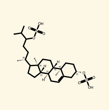 CC(C)C(CC[C@@H](C)C1CC[C@H]2[C@@H]3CC=C4C[C@@H](OS(=O)(=O)O)CC[C@]4(C)[C@H]3CC[C@]12C)OS(=O)(=O)O